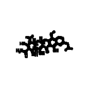 COc1c2c(c(O)c3cc(CN(C)C)ccc13)C(=O)C1=C(O)[C@]3(O)C(=O)C(C(N)=O)=C(O)[C@@H](N(C)C)[C@@H]3C[C@@H]1C2